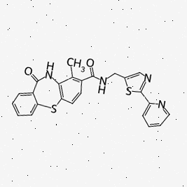 Cc1c(C(=O)NCc2cnc(-c3ccccn3)s2)ccc2c1NC(=O)c1ccccc1S2